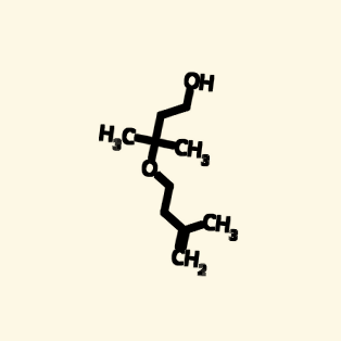 C=C(C)CCOC(C)(C)CCO